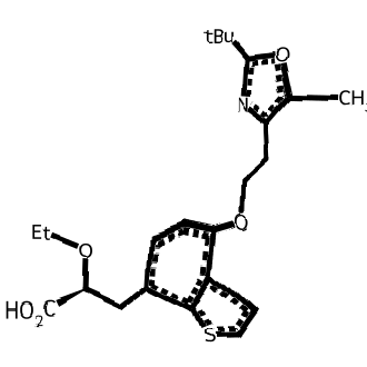 CCO[C@@H](Cc1ccc(OCCc2nc(C(C)(C)C)oc2C)c2ccsc12)C(=O)O